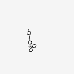 Cc1ccc(C#Cc2ccc([Si](C)(c3ccccc3)c3ccccc3)cc2)cc1